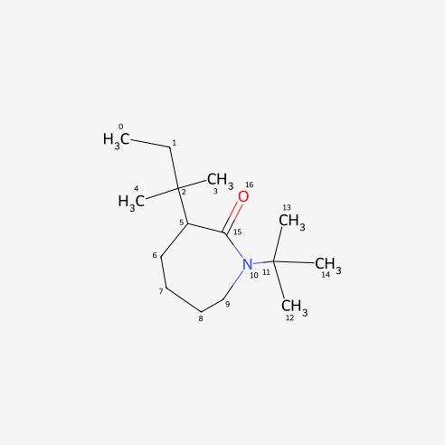 CCC(C)(C)C1CCCCN(C(C)(C)C)C1=O